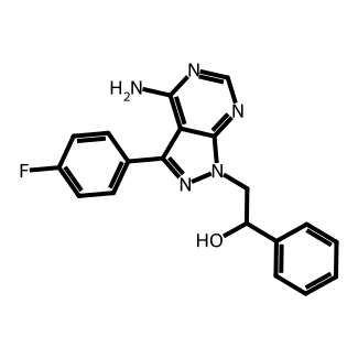 Nc1ncnc2c1c(-c1ccc(F)cc1)nn2CC(O)c1ccccc1